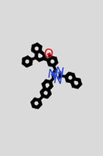 c1ccc(-c2ccc3cc(-c4nc(-c5ccc6ccccc6c5)nc(-c5ccc6oc7c8ccccc8c(-c8ccccc8)cc7c6c5)n4)ccc3c2)cc1